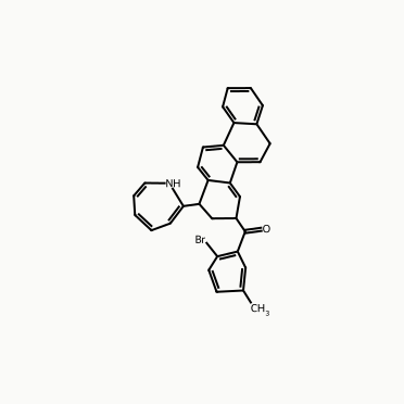 Cc1ccc(Br)c(C(=O)C2C=c3c(ccc4c3=CCc3ccccc3-4)C(C3=CC=CC=CN3)C2)c1